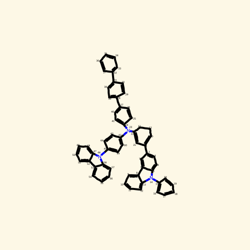 C1=C(c2ccc3c(c2)c2ccccc2n3-c2ccccc2)C=C(N(c2ccc(-c3ccc(-c4ccccc4)cc3)cc2)c2ccc(-n3c4ccccc4c4ccccc43)cc2)CC1